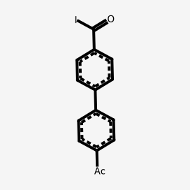 CC(=O)c1ccc(-c2ccc(C(=O)I)cc2)cc1